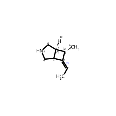 C/C=C1\C2CNC[C@H]2[C@@H]1C